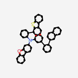 c1cc(-c2ccccc2-c2ccc3ccccc3c2)cc(N(c2ccc3c(c2)oc2ccccc23)c2ccccc2-c2cccc3c2sc2ccccc23)c1